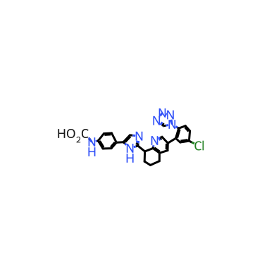 O=C(O)Nc1ccc(-c2cnc(C3CCCc4cc(-c5cc(Cl)ccc5-n5cnnn5)cnc43)[nH]2)cc1